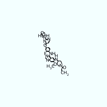 C=CC(=O)N1CCC(Nc2cc3c(Nc4ccc(Oc5ccnc(N6C[C@H]7C[C@@H]6CO7)n5)cc4F)ncnc3cc2OC)CC1